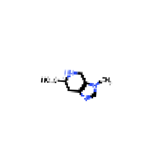 Cn1cnc2c1CN[C@H](C(=O)O)C2